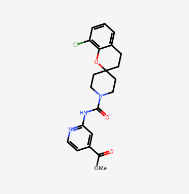 COC(=O)c1ccnc(NC(=O)N2CCC3(CCc4cccc(Cl)c4O3)CC2)c1